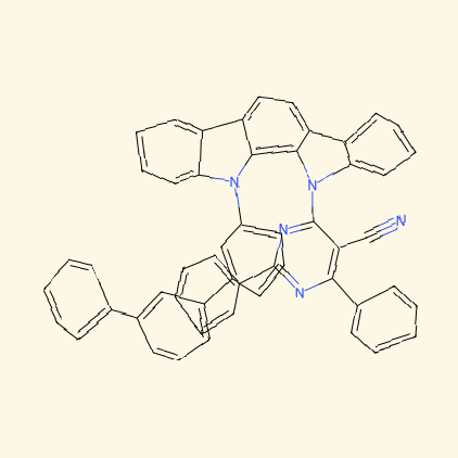 N#Cc1c(-c2ccccc2)nc(-c2ccccc2)nc1-n1c2ccccc2c2ccc3c4ccccc4n(-c4cccc(-c5cccc(-c6ccccc6)c5)c4)c3c21